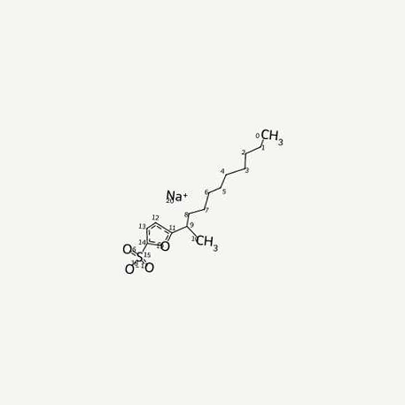 CCCCCCCCCC(C)c1ccc(S(=O)(=O)[O-])o1.[Na+]